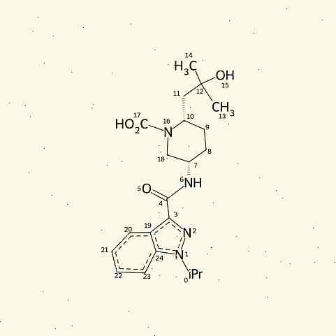 CC(C)n1nc(C(=O)N[C@H]2CC[C@@H](CC(C)(C)O)N(C(=O)O)C2)c2ccccc21